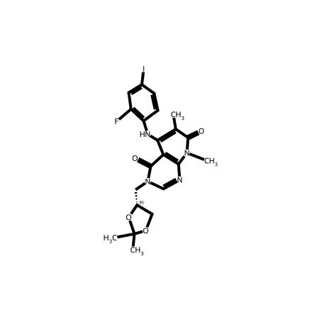 Cc1c(Nc2ccc(I)cc2F)c2c(=O)n(C[C@@H]3COC(C)(C)O3)cnc2n(C)c1=O